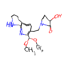 COC(OC)c1nc2c(cc1CN1CCC(O)C1=O)CCCN2